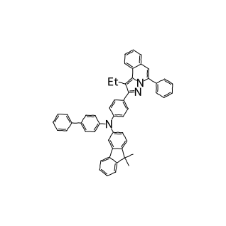 CCc1c(-c2ccc(N(c3ccc(-c4ccccc4)cc3)c3ccc4c(c3)-c3ccccc3C4(C)C)cc2)nn2c(-c3ccccc3)cc3ccccc3c12